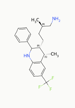 C[C@@H](CN)CC[C@H]1C(c2ccccc2)Nc2ccc(C(F)(F)F)cc2[C@H]1C